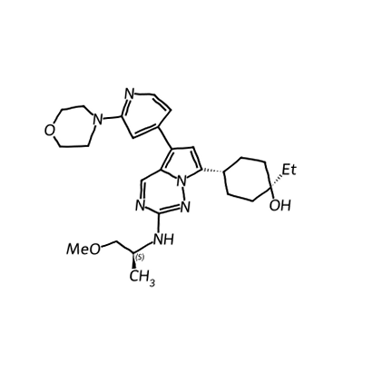 CC[C@]1(O)CC[C@H](c2cc(-c3ccnc(N4CCOCC4)c3)c3cnc(N[C@@H](C)COC)nn32)CC1